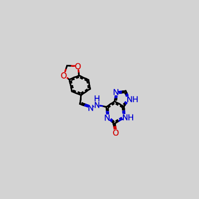 O=c1nc(N/N=C\c2ccc3c(c2)OCO3)c2nc[nH]c2[nH]1